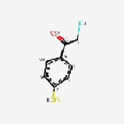 O=C(CF)c1ccc(S)cc1